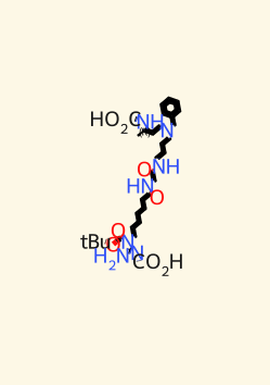 C[C@H](CCN(CCCCNC(=O)CNC(=O)CCCCCCN(C(=O)OC(C)(C)C)C(N)=NC(=O)O)Cc1ccccc1)NC(=O)O